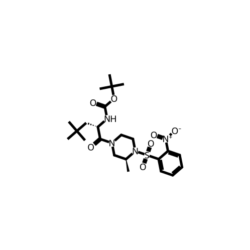 C[C@H]1CN(C(=O)[C@H](CC(C)(C)C)NC(=O)OC(C)(C)C)CCN1S(=O)(=O)c1ccccc1[N+](=O)[O-]